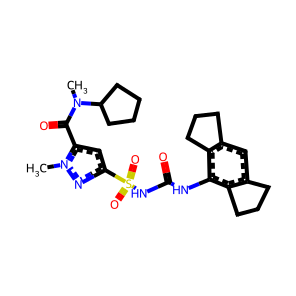 CN(C(=O)c1cc(S(=O)(=O)NC(=O)Nc2c3c(cc4c2CCC4)CCC3)nn1C)C1CCCC1